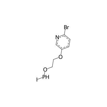 Brc1ccc(OCCOPI)cn1